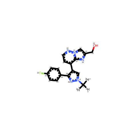 [2H]C([2H])([2H])n1cc(-c2ccnn3cc(CO)nc23)c(-c2ccc(F)cc2)n1